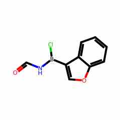 O=CNB(Cl)c1coc2ccccc12